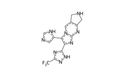 FC(F)(F)c1n[nH]c(-c2nc3nc4c(cn3c2-c2cnc[nH]2)CNC4)n1